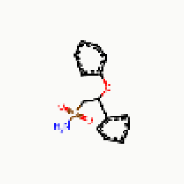 NS(=O)(=O)CC(Oc1ccccc1)c1ccccc1